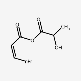 CCC/C=C\C(=O)OC(=O)C(C)O